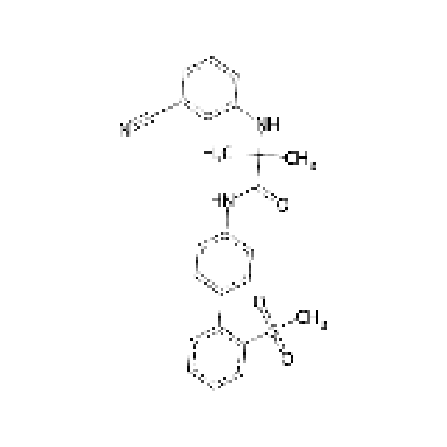 CC(C)(Nc1cccc(C#N)c1)C(=O)Nc1ccc(-c2ccccc2S(C)(=O)=O)cc1